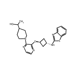 CC(O)C1CCN(c2nccnc2O[C@H]2C[C@H](Nc3nc4ccccc4s3)C2)CC1